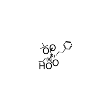 CC(C)C[C@@H](C(=O)O)[C@@H](CCCc1ccccc1)C(=O)OC(C)(C)C